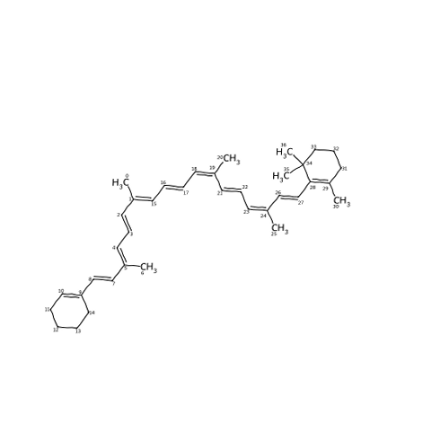 CC(C=CC=C(C)C=CC1=CCCCC1)=CC=CC=C(C)C=CC=C(C)C=CC1=C(C)CCCC1(C)C